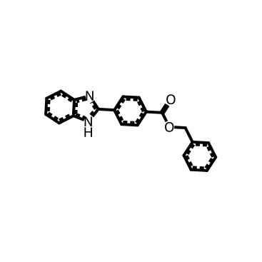 O=C(OCc1ccccc1)c1ccc(-c2nc3ccccc3[nH]2)cc1